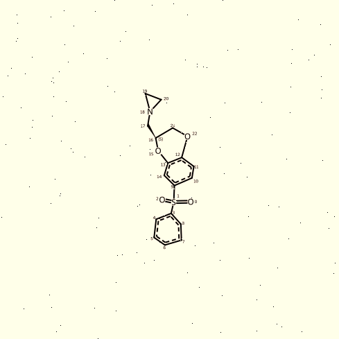 O=S(=O)(c1ccccc1)c1ccc2c(c1)O[C@@H](CN1CC1)CO2